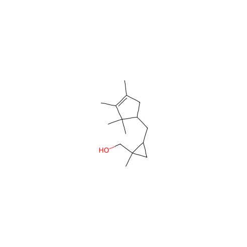 CC1=C(C)C(C)(C)C(CC2CC2(C)CO)C1